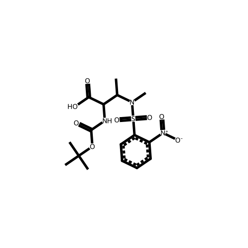 CC(C(NC(=O)OC(C)(C)C)C(=O)O)N(C)S(=O)(=O)c1ccccc1[N+](=O)[O-]